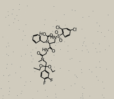 CCOC(CN(C)C(=O)CNC(=O)C(CNS(=O)(=O)c1ccc(Cl)cc1Cl)N(Cc1ccccc1)C(=O)O)(OCC)c1ccc(F)c(F)c1